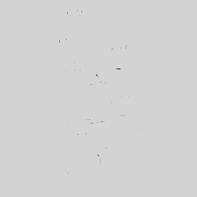 COC(=O)CC[C@@H](C)[C@H]1CC[C@H]2C3C(C[C@H](OC(C)=O)[C@]12C)[C@@]1(C)CCC(=O)C[C@H]1C[C@H]3OC(C)=O